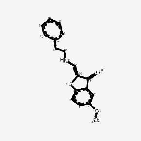 CCOc1ccc2c(c1)C(=O)/C(=C/NCCc1ccccc1)S2